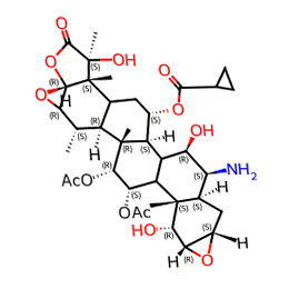 CC(=O)O[C@H]1C2C([C@@H](O)[C@@H](N)[C@H]3C[C@@H]4O[C@@H]4[C@H](O)[C@]23C)[C@@H]2[C@@H](OC(=O)C3CC3)CC3[C@H]([C@H](C)[C@H]4O[C@]45OC(=O)[C@@](C)(O)[C@]35C)[C@@]2(C)[C@H]1OC(C)=O